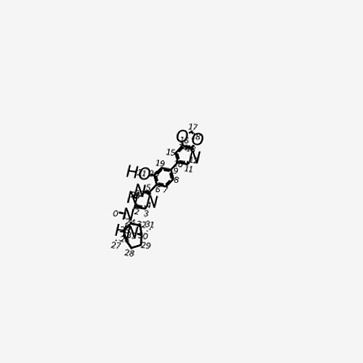 CN(c1cnc(-c2ccc(-c3cnc4c(c3)OCO4)cc2O)nn1)[C@H]1C[C@]2(C)CC[C@](C)(C1)N2